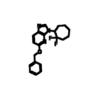 FC1(F)CCCCCC1n1cnc2ccc(OCc3ccccc3)nc21